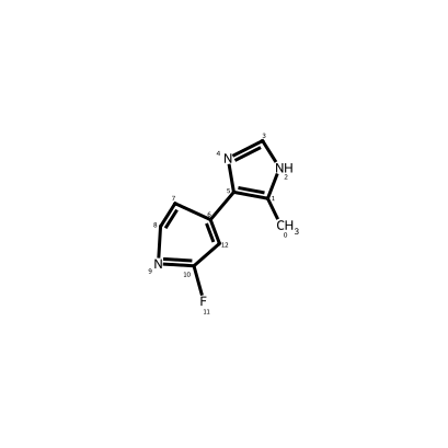 Cc1[nH]cnc1-c1ccnc(F)c1